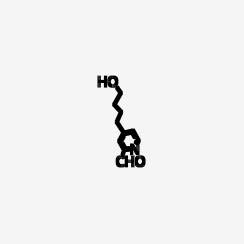 O=Cc1cc(CCCCO)ccn1